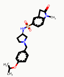 CC(C)Oc1ccc(CN2CC[C@@H](NS(=O)(=O)c3ccc4c(c3)CC(=O)N4C)C2)cc1